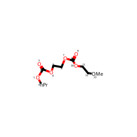 CCCOC(=O)OCCOC(=O)OCCOC